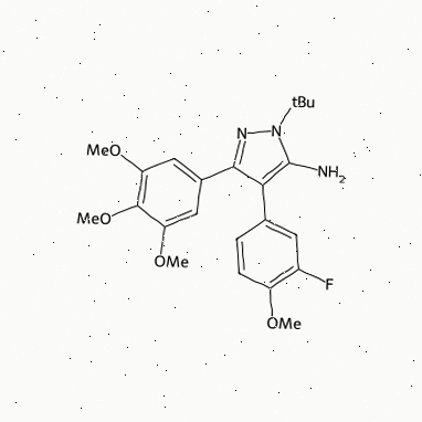 COc1ccc(-c2c(-c3cc(OC)c(OC)c(OC)c3)nn(C(C)(C)C)c2N)cc1F